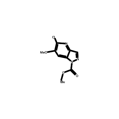 COc1cc2c(cnn2C(=O)OC(C)(C)C)nc1Cl